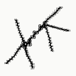 CCCCCCCCCCCCCCCCCCOc1cc(C(=O)OOCCOC(=O)CCC(=O)OCCOOC(=O)c2cc(OCCCCCCCCCCCCCCCCCC)c(OCCCCCCCCCCCCCCCCCC)c(OCCCCCCCCCCCCCCCCCC)c2)cc(OCCCCCCCCCCCCCCCCCC)c1OCCCCCCCCCCCCCCCCCC